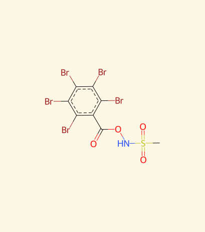 CS(=O)(=O)NOC(=O)c1c(Br)c(Br)c(Br)c(Br)c1Br